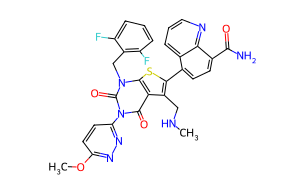 CNCc1c(-c2ccc(C(N)=O)c3ncccc23)sc2c1c(=O)n(-c1ccc(OC)nn1)c(=O)n2Cc1c(F)cccc1F